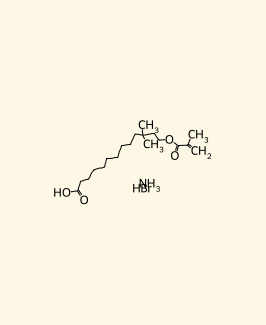 Br.C=C(C)C(=O)OCCC(C)(C)CCCCCCCCCC(=O)O.N